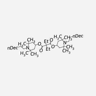 CCCCCCCCCCCCN1C(C)(C)CC(OC(=O)C(CC)(CC)C(=O)OC2CC(C)(C)N(CCCCCCCCCCCC)C(C)(C)C2)CC1(C)C